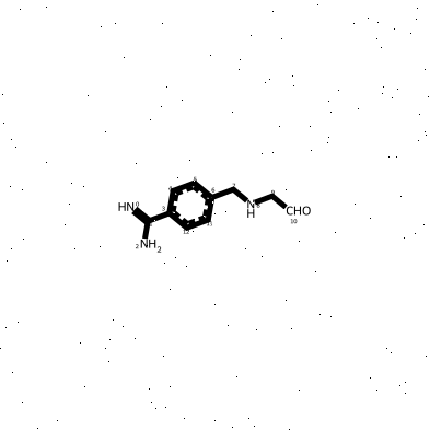 N=C(N)c1ccc(CNCC=O)cc1